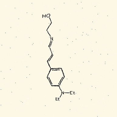 CCN(CC)c1ccc(C=CC=NCCO)cc1